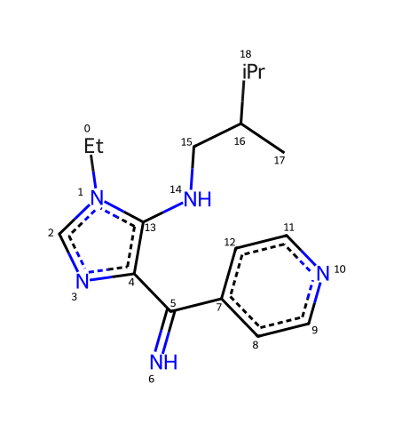 CCn1cnc(C(=N)c2ccncc2)c1NCC(C)C(C)C